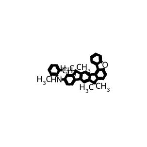 Cc1cccc(C)c1Nc1ccc2c(c1)C(C)(C)c1cc3c(cc1-2)C(C)(C)c1ccc2oc4ccccc4c2c1-3